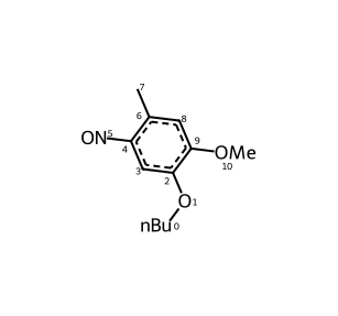 CCCCOc1cc(N=O)c(C)cc1OC